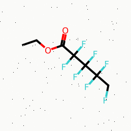 CCOC(=O)C(F)(F)C(F)(F)C(F)(F)CF